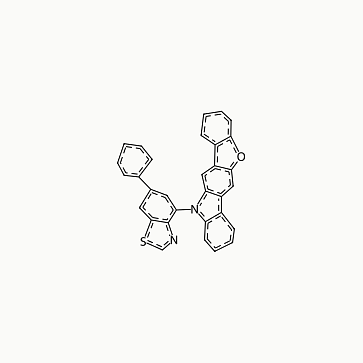 c1ccc(-c2cc(-n3c4ccccc4c4cc5oc6ccccc6c5cc43)c3ncsc3c2)cc1